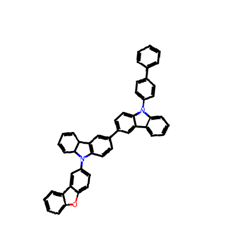 C1=CC2c3cc(-c4ccc5c(c4)c4ccccc4n5-c4ccc(-c5ccccc5)cc4)ccc3N(c3ccc4oc5ccccc5c4c3)C2C=C1